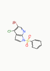 O=S(=O)(c1ccccc1)n1ccc2c(Cl)c(Br)cnc21